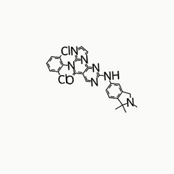 CN1Cc2cc(Nc3ncc4c(=O)n(-c5c(Cl)cccc5Cl)c5nccn5c4n3)ccc2C1(C)C